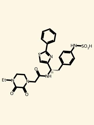 CCN1CCN(CC(=O)N[C@@H](Cc2ccc(NS(=O)(=O)O)cc2)c2csc(-c3ccccc3)n2)C(=O)C1=O